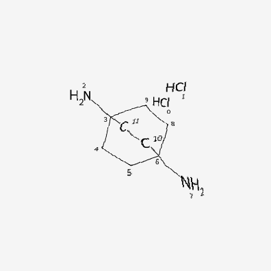 Cl.Cl.NC12CCC(N)(CC1)CC2